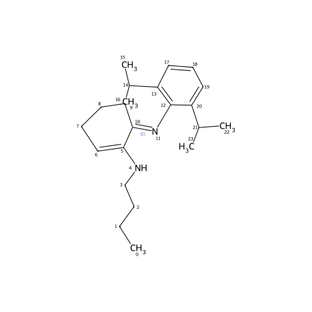 CCCCNC1=CCCC/C1=N\c1c(C(C)C)cccc1C(C)C